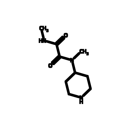 CNC(=O)C(=O)N(C)C1CCNCC1